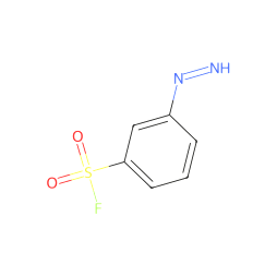 N=Nc1cccc(S(=O)(=O)F)c1